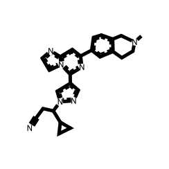 CN1CCc2cc(-c3cc4nccn4c(-c4cnn(C(CC#N)C5CC5)c4)n3)ccc2C1